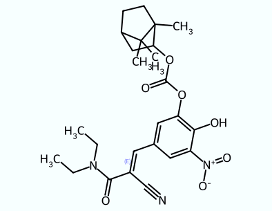 CCN(CC)C(=O)/C(C#N)=C/c1cc(OC(=O)OC2CC3CCC2(C)C3(C)C)c(O)c([N+](=O)[O-])c1